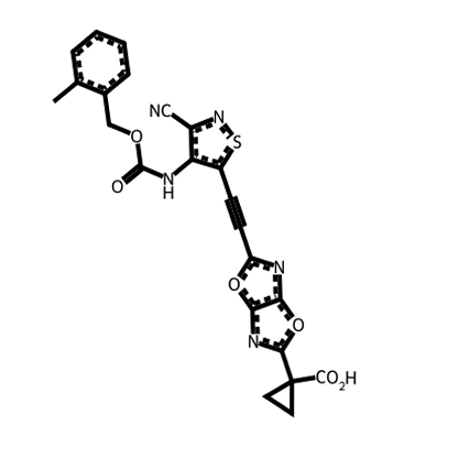 Cc1ccccc1COC(=O)Nc1c(C#N)nsc1C#Cc1nc2oc(C3(C(=O)O)CC3)nc2o1